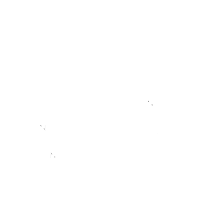 CC1(C)c2ccccc2-c2nc3c(ccc4ccccc43)c(-c3ccc(-c4ncccn4)cc3)c21